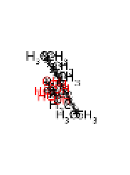 CC(C)=CCC/C(C)=C/CC/C(C)=C/CC/C=C(\C)CC/C=C(\C)CCC=C(C)C.OCC(O)C(O)C(O)C(O)CO